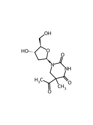 CC(=O)C1(C)CN([C@H]2C[C@H](O)[C@@H](CO)O2)C(=O)NC1=O